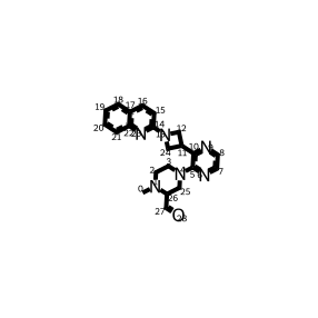 CN1CCN(c2nccnc2C2CN(c3ccc4ccccc4n3)C2)CC1C=O